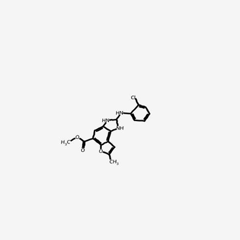 COC(=O)c1cc2c(c3cc(C)oc13)NC(Nc1ccccc1Cl)N2